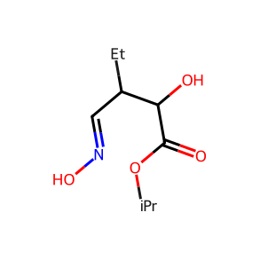 CCC(C=NO)C(O)C(=O)OC(C)C